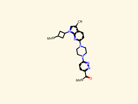 CNC(=O)c1ccc(N2CCN(c3ccc4c(C#N)cn(C5CC(NC)C5)c4n3)CC2)nn1